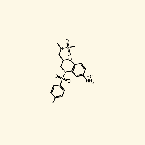 CN(CC1CN(S(=O)(=O)c2ccc(F)cc2)c2cc(N)ccc2O1)S(C)(=O)=O.Cl